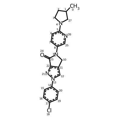 CC1CCN(c2ccc(N3Cc4cn(-c5ccc(Cl)cc5)nc4C3=O)cn2)C1